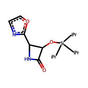 CC(C)[Si](OC1C(=O)NC1c1ncco1)(C(C)C)C(C)C